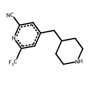 N#Cc1cc(CC2CCNCC2)cc(C(F)(F)F)n1